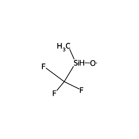 C[SiH]([O])C(F)(F)F